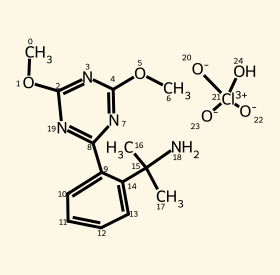 COc1nc(OC)nc(-c2ccccc2C(C)(C)N)n1.[O-][Cl+3]([O-])([O-])O